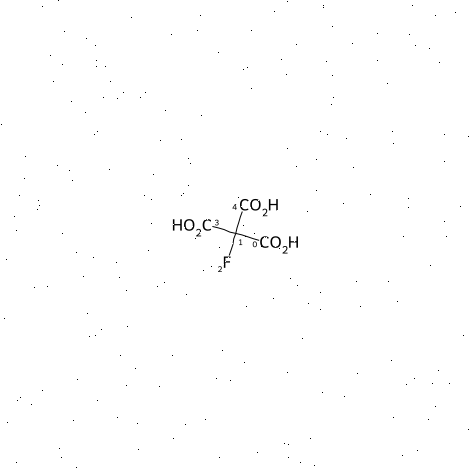 O=C(O)C(F)(C(=O)O)C(=O)O